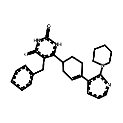 O=c1[nH]c(C2CC=C(c3cccnc3N3CCCCC3)CC2)c(Cc2ccccc2)c(=O)[nH]1